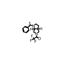 C[C@H](c1ccccc1)N1CC[C@@H]2CN(C(=O)C(F)(F)F)C[C@@H]21